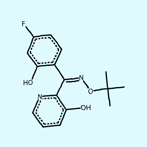 CC(C)(C)ON=C(c1ccc(F)cc1O)c1ncccc1O